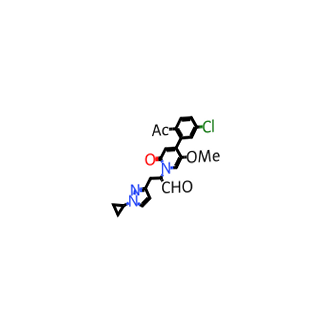 COc1cn(C(C=O)Cc2ccn(C3CC3)n2)c(=O)cc1-c1cc(Cl)ccc1C(C)=O